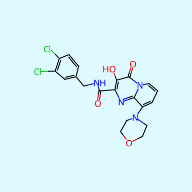 O=C(NCc1ccc(Cl)c(Cl)c1)c1nc2c(N3CCOCC3)cccn2c(=O)c1O